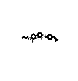 CCCCOC1CCC2C3CCC(OCC4CCC(CC5CC5)CC4)C(F)C3SC2C1F